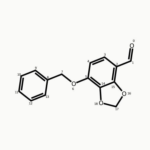 O=Cc1ccc(OCc2ccccc2)c2c1OCO2